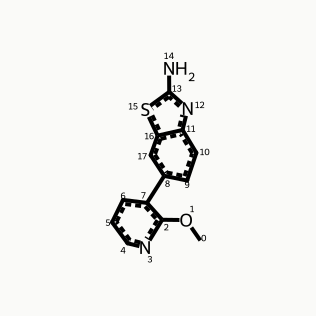 COc1ncccc1-c1ccc2nc(N)sc2c1